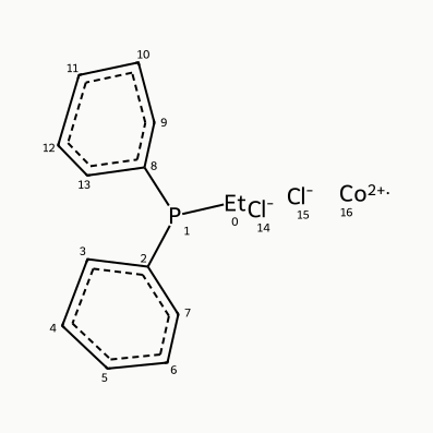 CCP(c1ccccc1)c1ccccc1.[Cl-].[Cl-].[Co+2]